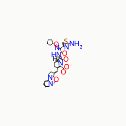 C[n+]1ccccc1N1CCC(=CC2=C(C(=O)[O-])N3C(=O)[C@@H](NC(=O)C(=NOC4CCCC4)c4csc(N)n4)[C@H]3CC2)C1=O